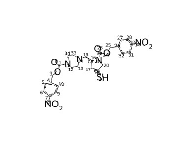 O=C(OCc1ccc([N+](=O)[O-])cc1)N1CCN(C[C@@H]2C[C@H](S)CN2C(=O)OCc2ccc([N+](=O)[O-])cc2)CC1